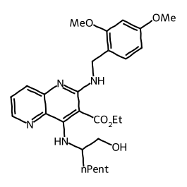 CCCCCC(CO)Nc1c(C(=O)OCC)c(NCc2ccc(OC)cc2OC)nc2cccnc12